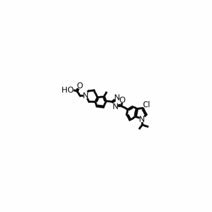 Cc1c(-c2noc(-c3ccc4c(c3)c(Cl)cn4C(C)C)n2)ccc2c1CCN(CC(=O)O)C2